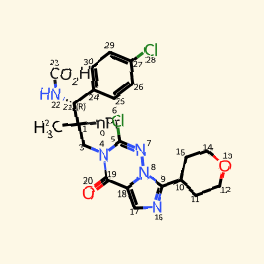 CCCC(C)(Cn1c(Cl)nn2c(C3CCOCC3)ncc2c1=O)[C@H](NC(=O)O)c1ccc(Cl)cc1